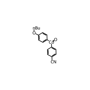 CCCCOc1cc[c]([Co](=[O])[c]2ccc(C#N)cc2)cc1